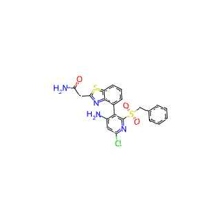 NC(=O)Cc1nc2c(-c3c(N)cc(Cl)nc3S(=O)(=O)Cc3ccccc3)cccc2s1